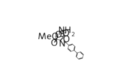 COC(=O)c1nc(-c2ccc(-c3ccccc3)cc2)oc1S(N)(=O)=O